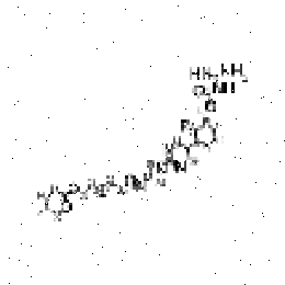 N=C(N)NC(=O)OCc1cccc(-c2cnc(N3CC(=NOCCOCCOC4CCCCO4)C3)nc2)c1F